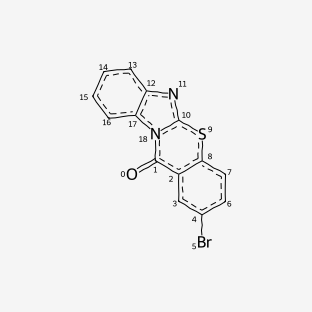 O=c1c2cc(Br)ccc2sc2nc3ccccc3n12